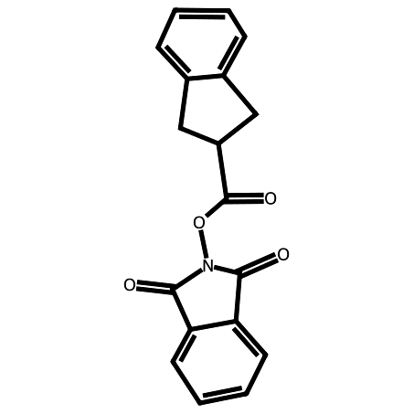 O=C(ON1C(=O)c2ccccc2C1=O)C1Cc2ccccc2C1